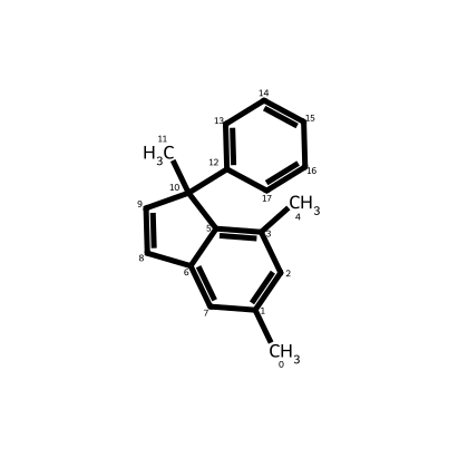 Cc1cc(C)c2c(c1)C=CC2(C)c1ccccc1